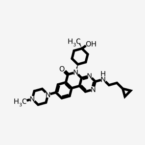 CN1CCN(c2ccc3c(c2)c(=O)n([C@H]2CC[C@](C)(O)CC2)c2nc(NCCC4CC4)ncc32)CC1